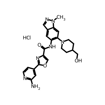 Cl.Cn1ncc2cc(NC(=O)c3coc(-c4ccnc(N)c4)n3)c(N3CCC(CO)CC3)cc21